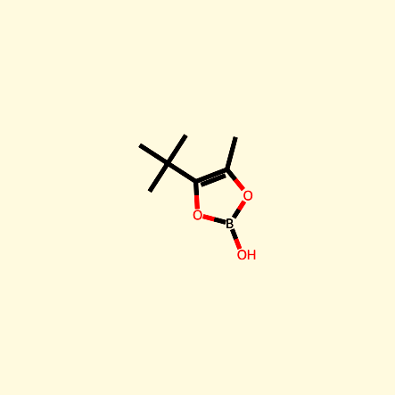 CC1=C(C(C)(C)C)OB(O)O1